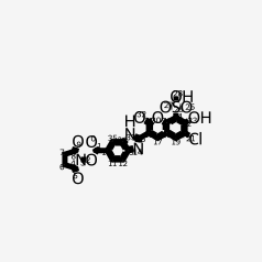 O=C(ON1C(=O)CCC1=O)c1ccc2nc(-c3cc4cc(Cl)c(O)c(S(=O)(=O)O)c4oc3=O)[nH]c2c1